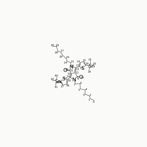 CCCCCCCCN1C(=O)C2=C(c3cc[c]([Sn]([CH3])([CH3])[CH3])s3)N(CCCCCCCC)C(=O)C2=C1c1cc[c]([Sn]([CH3])([CH3])[CH3])s1